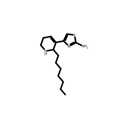 CCCCCCCC1NCCC=C1c1csc(N)n1